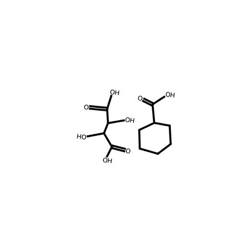 O=C(O)C(O)C(O)C(=O)O.O=C(O)C1CCCCC1